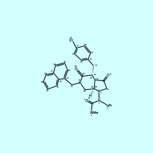 CCCN(C(=O)NC)N1CC(=O)N2[C@@H](Cc3ccc(CC)cc3)C(=O)N(Cc3cccc4ccccc34)C[C@@H]21